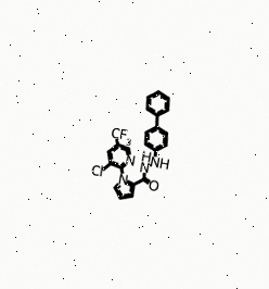 O=C(NNc1ccc(-c2ccccc2)cc1)c1cccn1-c1ncc(C(F)(F)F)cc1Cl